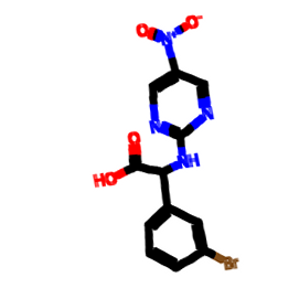 O=C(O)C(Nc1ncc([N+](=O)[O-])cn1)c1cccc(Br)c1